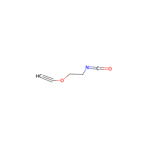 C#COCCN=C=O